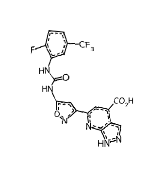 O=C(Nc1cc(-c2cc(C(=O)O)c3cn[nH]c3n2)no1)Nc1cc(C(F)(F)F)ccc1F